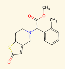 COC(=O)C(c1ccccc1C)N1CCC2SC(=O)C=C2C1